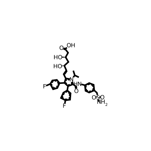 CC(C)n1c(/C=C/[C@H](O)C[C@@H](O)CC(=O)O)c(-c2ccc(F)cc2)c(-c2ccc(F)cc2)c1C(=O)Nc1ccc(CS(N)(=O)=O)cc1